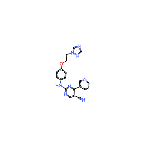 N#Cc1cnc(Nc2ccc(OCCn3cncn3)cc2)nc1-c1cccnc1